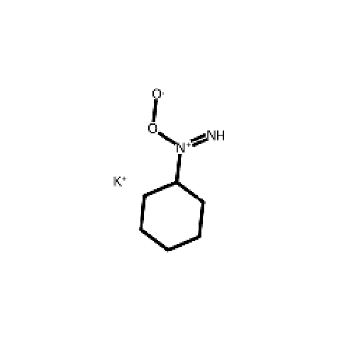 N=[N+](O[O])C1CCCCC1.[K+]